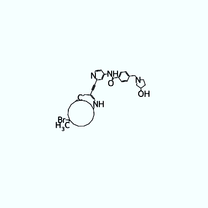 CC1(Br)CCCCCCC2CCCC(CCC1)CC/C(C#Cc1cc(NC(=O)c3ccc(CN4CC[C@@H](O)C4)cc3)ccn1)=C\N2